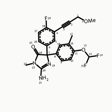 COCC#Cc1cc(C2(c3ccc(OC(F)F)c(C)c3)N=C(N)N(C)C2=O)ccc1F